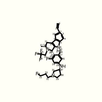 C#Cc1ccc2[nH]c3c(c2c1)C[C@H](C)N(CC(F)(F)F)[C@H]3c1c(F)cc(N[C@H]2CCN(CCCF)C2)cc1F